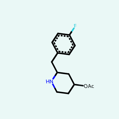 CC(=O)OC1CCNC(Cc2ccc(F)cc2)C1